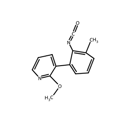 COc1ncccc1-c1cccc(C)c1N=C=O